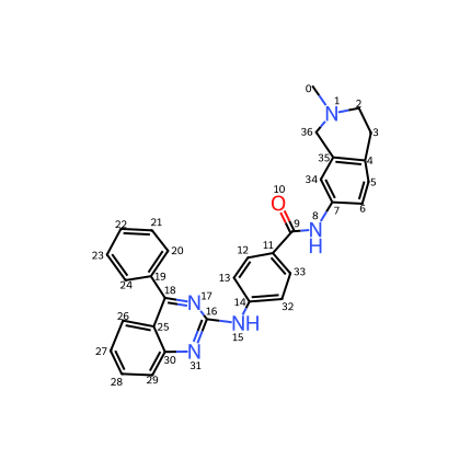 CN1CCc2ccc(NC(=O)c3ccc(Nc4nc(-c5ccccc5)c5ccccc5n4)cc3)cc2C1